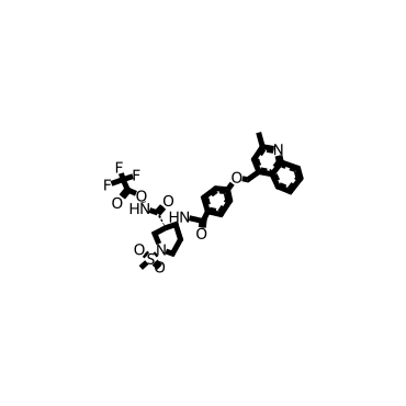 Cc1cc(COc2ccc(C(=O)N[C@@H]3CCN(S(C)(=O)=O)C[C@@H]3C(=O)NOC(=O)C(F)(F)F)cc2)c2ccccc2n1